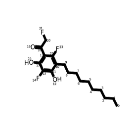 CCCCCCCCCCc1c(O)c(F)c(O)c(C(=O)CF)c1F